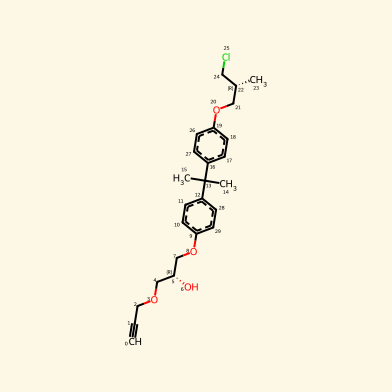 C#CCOC[C@@H](O)COc1ccc(C(C)(C)c2ccc(OC[C@@H](C)CCl)cc2)cc1